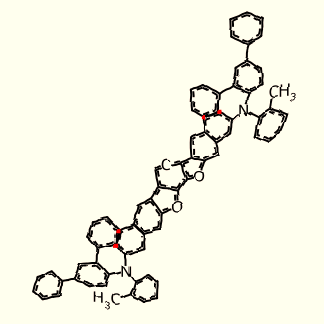 Cc1ccccc1N(c1ccc2cc3c(cc2c1)oc1c3ccc2c3cc4ccc(N(c5ccccc5C)c5ccc(-c6ccccc6)cc5-c5ccccc5)cc4cc3oc21)c1ccc(-c2ccccc2)cc1-c1ccccc1